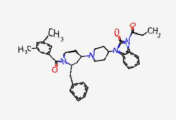 CCC(=O)n1c(=O)n(C2CCN(C3CCN(C(=O)c4cc(C)cc(C)c4)C(Cc4ccccc4)C3)CC2)c2ccccc21